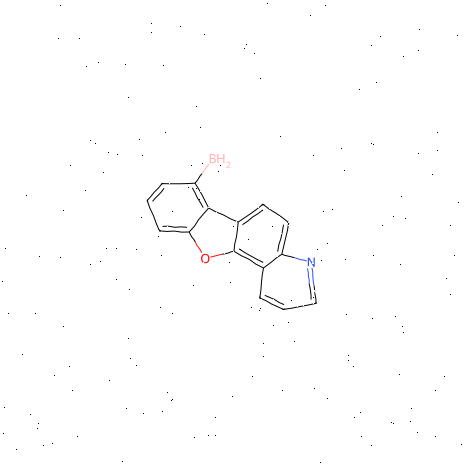 Bc1cccc2oc3c4cccnc4ccc3c12